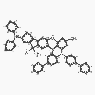 Cc1cc2c3c(c1)N(c1ccc(-c4ccccc4)cc1)c1ccc(-c4ccccc4)cc1B3c1cc3c(cc1O2)-c1ccc(N(c2ccccc2)c2ccccc2)cc1C3(C)C